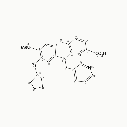 COc1ccc(N(Cc2cccnc2)c2cc(C(=O)O)ccc2C)cc1OC1CCCC1